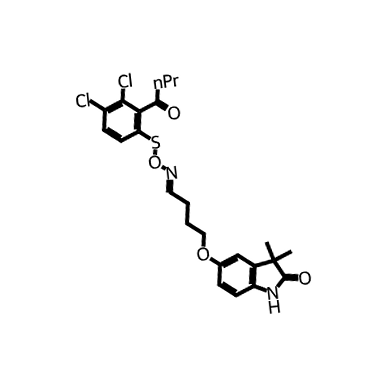 CCCC(=O)c1c(SON=CCCCOc2ccc3c(c2)C(C)(C)C(=O)N3)ccc(Cl)c1Cl